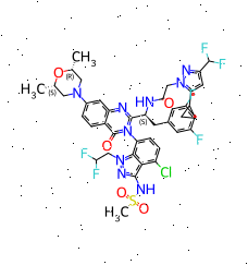 C[C@@H]1CN(c2ccc3c(=O)n(-c4ccc(Cl)c5c(NS(C)(=O)=O)nn(CC(F)F)c45)c([C@H](Cc4cc(F)cc(F)c4)NC(=O)Cn4nc(C(F)F)cc4C4CC4)nc3c2)C[C@H](C)O1